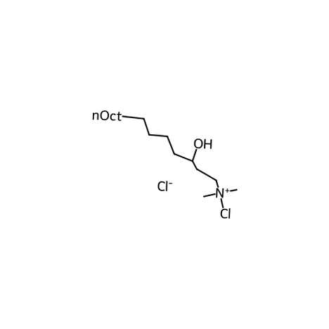 CCCCCCCCCCCCC(O)CC[N+](C)(C)Cl.[Cl-]